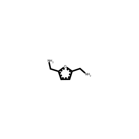 NCc1ccc(CN)o1